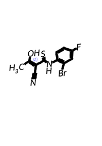 C/C(O)=C(\C#N)C(=S)Nc1ccc(F)cc1Br